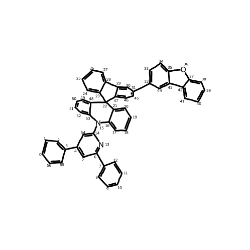 c1ccc(-c2cc(-c3ccccc3)nc(N3c4ccccc4C4(c5ccccc5-c5cc(-c6ccc7oc8ccccc8c7c6)ccc54)c4ccccc43)c2)cc1